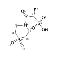 O=C(C(F)S(=O)(=O)O)N1CCS(=O)(=O)CC1